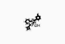 Cc1cccc(-c2noc(C3CCCCN3C(=O)C3CCC3)n2)c1.Cl